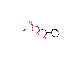 CC(C)OC(=O)CC(=O)CC(=O)c1ccccc1